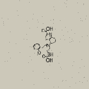 COc1ccccc1CCN(CCBC(=O)O)C1CCCc2nc(C(=O)O)ccc21